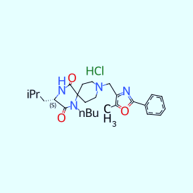 CCCCN1C(=O)[C@H](CC(C)C)NC(=O)C12CCN(Cc1nc(-c3ccccc3)oc1C)CC2.Cl